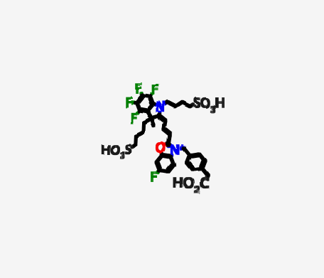 CC1(CCCCS(=O)(=O)O)C(=CC=Cc2oc3cc(F)ccc3[n+]2Cc2ccc(CC(=O)O)cc2)N(CCCCS(=O)(=O)O)c2c(F)c(F)c(F)c(F)c21